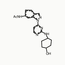 CC(=O)Nc1ccc2cnn(-c3ccnc(NC4CCC(O)CC4)n3)c2c1